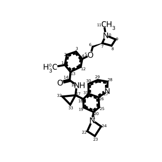 Cc1ccc(OC[C@@H]2CCN2C)cc1C(=O)NC1(c2cc(N3CCC3)cc3ncccc23)CC1